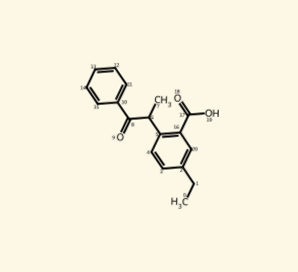 CCc1ccc(C(C)C(=O)c2ccccc2)c(C(=O)O)c1